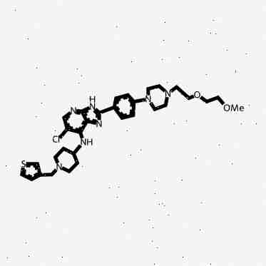 COCCOCCN1CCN(c2ccc(-c3nc4c(NC5CCN(Cc6ccsc6)CC5)c(Cl)cnc4[nH]3)cc2)CC1